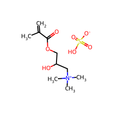 C=C(C)C(=O)OCC(O)C[N+](C)(C)C.O=S(=O)([O-])O